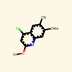 CCOc1cc(Cl)c2cc(C#N)c(OC)cc2n1